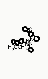 CC1(C)c2ccccc2-c2ccc(-c3nc(-c4ccccc4)nc(N4c5cc6c(cc5C5C=CC=CC54)oc4ccccc46)n3)cc21